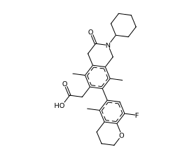 Cc1c(-c2c(C)c3c(c(C)c2CC(=O)O)CC(=O)N(C2CCCCC2)C3)cc(F)c2c1CCCO2